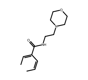 C/C=C\C(=C/C)C(=O)NCCN1CCOCC1